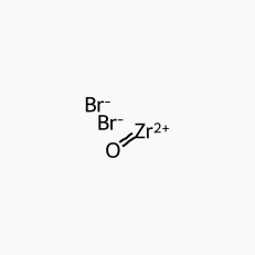 [Br-].[Br-].[O]=[Zr+2]